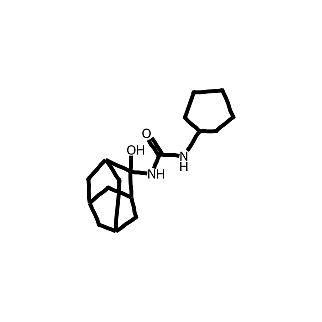 O=C(NC1CCCCC1)NC1(O)C2CC3CC(C2)CC1C3